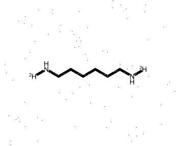 [2H]NCCCCCCN[2H]